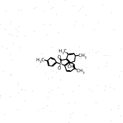 CC1=CC(C)CC(C)=C1C(=O)P(=O)(c1ccc(C)cc1)c1ccc(C)cc1